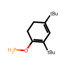 CC(C)(C)C1=CC(C(C)(C)C)=C(OP)CC1